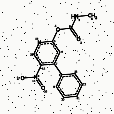 CNC(=O)Oc1cc(-c2ccccc2)c([N+](=O)[O-])cn1